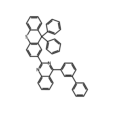 c1ccc(-c2cccc(-c3nc(-c4ccc5c(c4)C(c4ccccc4)(c4ccccc4)c4ccccc4S5)nc4ccccc34)c2)cc1